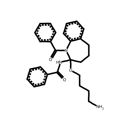 NCCCCOC1(NC(=O)c2ccccc2)CCCc2ccccc2N1C(=O)c1ccccc1